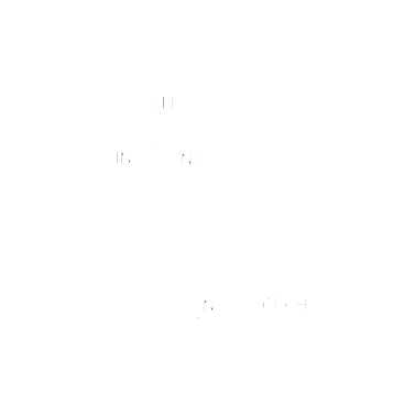 CC(=N)NCCCC[C@@H](N)C(=O)O